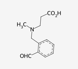 CN(CCC(=O)O)Cc1ccccc1C=O